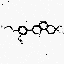 CCSc1ccc(C2COc3c(ccc4c3CCC(C)(C)O4)C2)cc1N=O